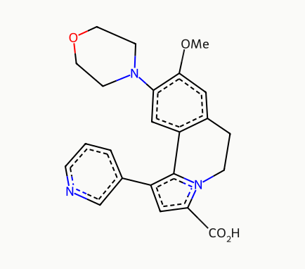 COc1cc2c(cc1N1CCOCC1)-c1c(-c3cccnc3)cc(C(=O)O)n1CC2